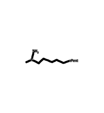 CCCCCCCCCCN(C)N